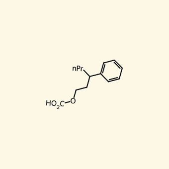 CCCC(CCOC(=O)O)c1ccccc1